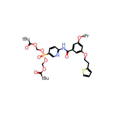 CC(C)Oc1cc(OCCc2cccs2)cc(C(=O)Nc2ccc(P(=O)(OCOC(=O)C(C)(C)C)OCOC(=O)C(C)(C)C)cn2)c1